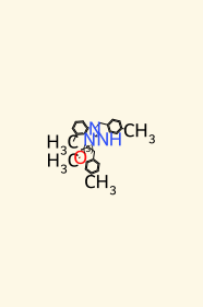 COC[C@H](Cc1ccc(C)cc1)n1c(=N)n(Cc2ccc(C)cc2)c2cccc(C)c21